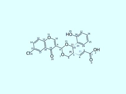 O=C(O)/C=C/[C@@H]1COC(c2coc3ccc(Cl)cc3c2=O)O[C@@H]1c1ccccc1O